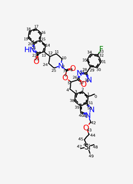 Cc1cc(CC(OC(=O)N2CCC(c3cc4ccccc4[nH]c3=O)CC2)c2nc(-c3ccc(F)cc3)no2)cc2cn(COCC[Si](C)(C)C)nc12